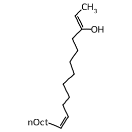 CC=C(O)CCCCCCC/C=C\CCCCCCCC